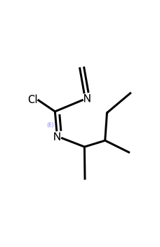 C=N/C(Cl)=N\C(C)C(C)CC